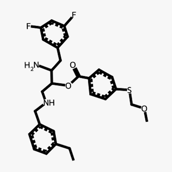 CCc1cccc(CNCC(OC(=O)c2ccc(SCOC)cc2)C(N)Cc2cc(F)cc(F)c2)c1